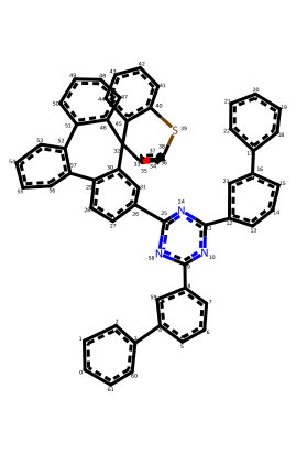 c1ccc(-c2cccc(-c3nc(-c4cccc(-c5ccccc5)c4)nc(-c4ccc5c(c4)C4(c6ccccc6Sc6ccccc64)c4ccccc4-c4ccccc4-5)n3)c2)cc1